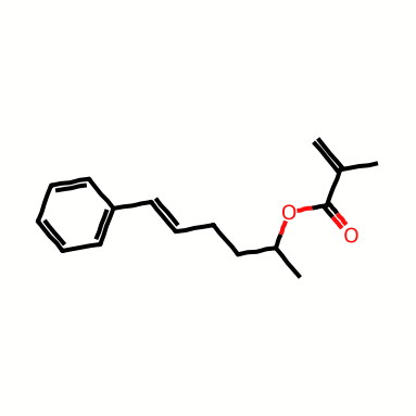 C=C(C)C(=O)OC(C)CCC=Cc1ccccc1